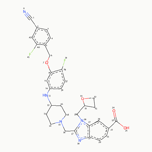 N#Cc1ccc(COc2cc(NC3CCN(Cc4nc5ccc(C(=O)O)cc5n4CC4CCO4)CC3)ccc2F)c(F)c1